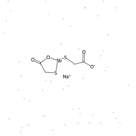 O=C([O-])C[S][Sb]1[O]C(=O)C[S]1.[Na+]